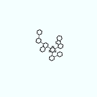 c1ccc(-c2cccc(-c3ccc(-c4nc(-c5ccccc5-c5ccccc5)nc(-c5cccc6c5sc5ccccc56)n4)c4ccccc34)c2)cc1